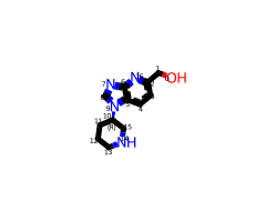 OCc1ccc2c(ncn2[C@@H]2CCCNC2)n1